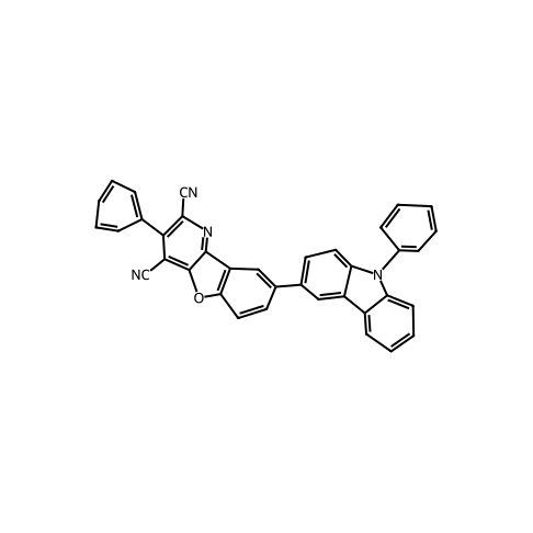 N#Cc1nc2c(oc3ccc(-c4ccc5c(c4)c4ccccc4n5-c4ccccc4)cc32)c(C#N)c1-c1ccccc1